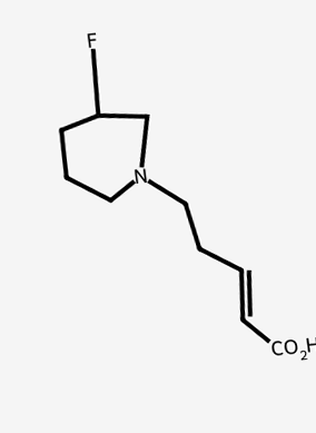 O=C(O)C=CCCN1CCCC(F)C1